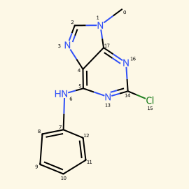 Cn1cnc2c(Nc3ccccc3)nc(Cl)nc21